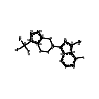 Cc1nccn2c(N3CCn4c(nnc4C(F)(F)F)C3)nc(Br)c12